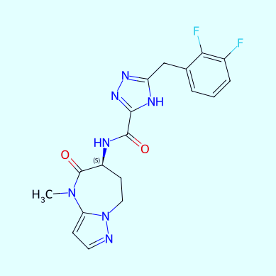 CN1C(=O)[C@@H](NC(=O)c2nnc(Cc3cccc(F)c3F)[nH]2)CCn2nccc21